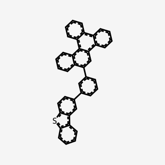 c1cc(-c2ccc3sc4ccccc4c3c2)cc(-c2cc3c4ccccc4c4ccccc4c3c3ccccc23)c1